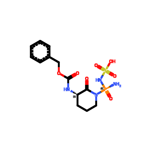 N[P@](=O)(NS(=O)(=O)O)N1CCC[C@H](NC(=O)OCc2ccccc2)C1=O